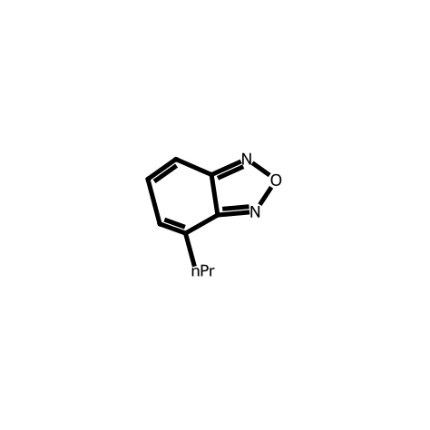 CCCc1cccc2nonc12